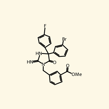 COC(=O)c1cccc(CN2C(=N)NC(c3ccc(F)cc3)(c3cccc(Br)c3)C2=O)c1